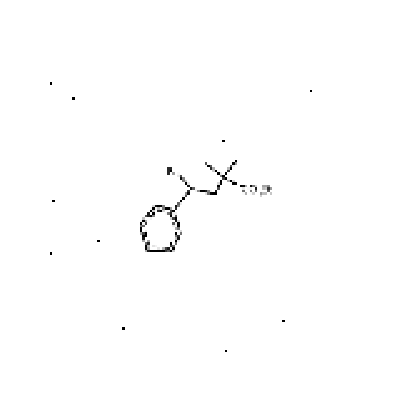 CCOC(=O)C(C)(C)CC(Br)c1ccccc1